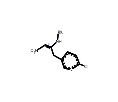 CCC(C)N/C(=C/[N+](=O)[O-])Cc1ccc(Cl)nc1